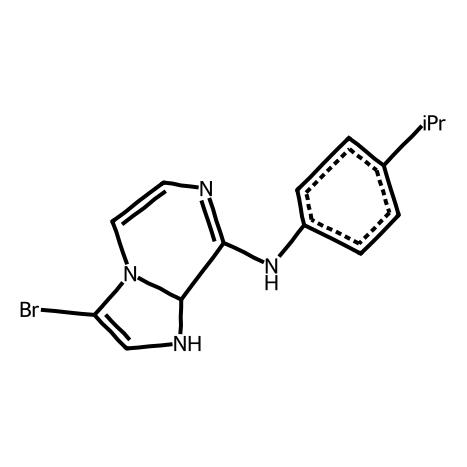 CC(C)c1ccc(NC2=NC=CN3C(Br)=CNC23)cc1